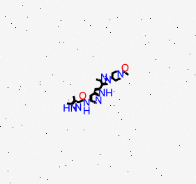 CC(=O)N1CCC(n2cc(-c3cc4cc(NC(=O)c5n[nH]c(C)c5C)cnc4[nH]3)c(C)n2)CC1